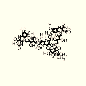 Cc1cc2nc3c(=O)[nH]c(=O)nc-3n(CC(O)C(O)C(O)COC(=O)C3OC(OC4C(O)C(CO)OC5C4N(C=O)[C@@](C)(OCC(O)C(O)C(O)Cn4c6nc(=O)[nH]c(=O)c-6nc6cc(C)c(C)cc64)C5(C)C)C(O)C(O)C3OC(C)(C)C)c2cc1C